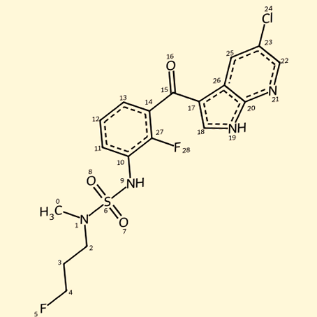 CN(CCCF)S(=O)(=O)Nc1cccc(C(=O)c2c[nH]c3ncc(Cl)cc23)c1F